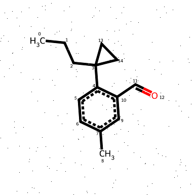 CCCC1(c2ccc(C)cc2C=O)CC1